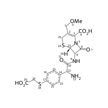 COCC1=C(C(=O)O)N2C(=O)C(NC(=O)C(N)c3ccc(SCC(=O)O)cc3)[C@@H]2SC1